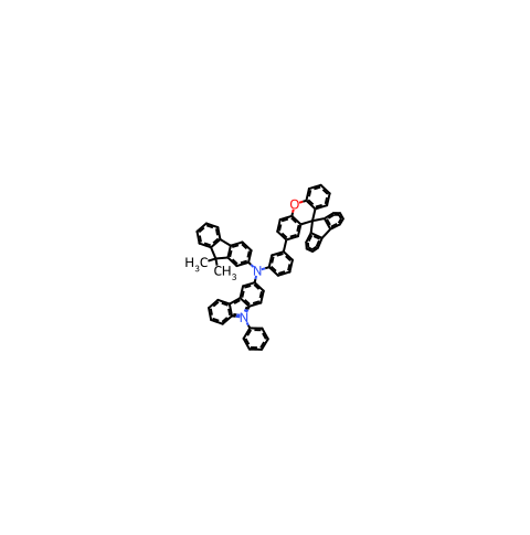 CC1(C)c2ccccc2-c2ccc(N(c3cccc(-c4ccc5c(c4)C4(c6ccccc6O5)c5ccccc5-c5ccccc54)c3)c3ccc4c(c3)c3ccccc3n4-c3ccccc3)cc21